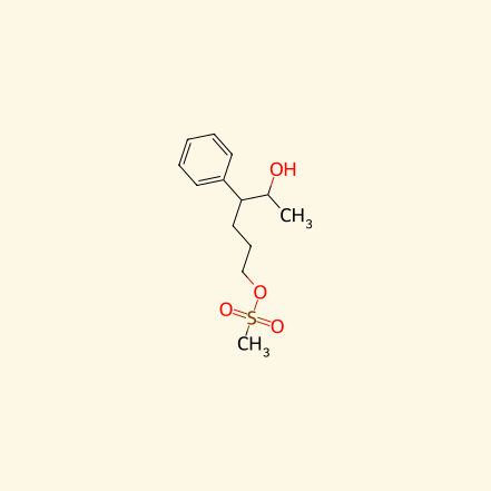 CC(O)C(CCCOS(C)(=O)=O)c1ccccc1